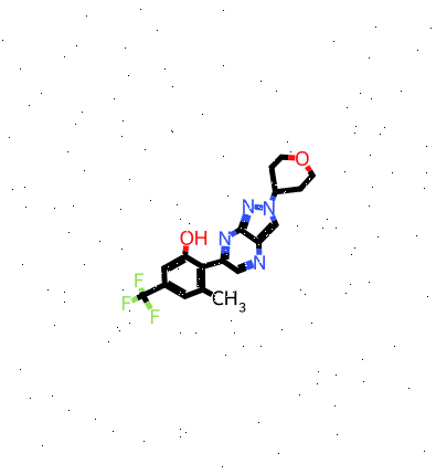 Cc1cc(C(F)(F)F)cc(O)c1-c1cnc2cn(C3CCOCC3)nc2n1